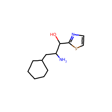 NC(CC1CCCCC1)C(O)c1nccs1